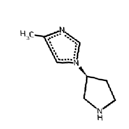 Cc1cn([C@H]2CCNC2)cn1